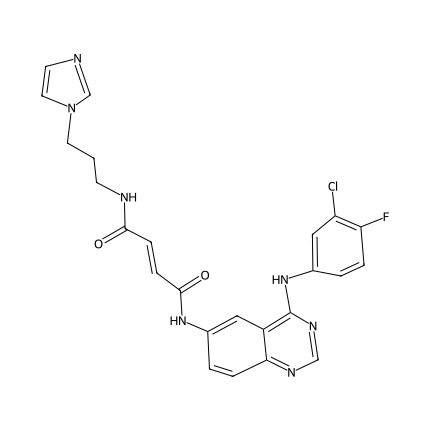 O=C(C=CC(=O)Nc1ccc2ncnc(Nc3ccc(F)c(Cl)c3)c2c1)NCCCn1ccnc1